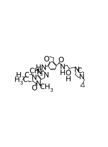 CC[C@@H]1C(=O)N(C)c2cnc(Nc3ccc(C(=O)NC[C@H](O)CN4CCN(CC5CC5)CC4)c4c3OCC4)nc2N1C(C)C